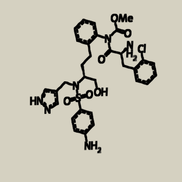 COC(=O)N(C(=O)[C@@H](N)Cc1ccccc1Cl)c1ccccc1CC[C@@H](CO)N(Cc1cn[nH]c1)S(=O)(=O)c1ccc(N)cc1